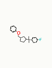 CC(C)(c1ccc(F)cc1)C1CCC(COc2ccccc2)C1